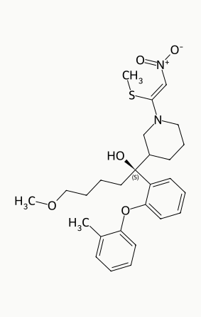 COCCCC[C@@](O)(c1ccccc1Oc1ccccc1C)C1CCCN(C(=C[N+](=O)[O-])SC)C1